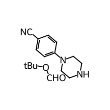 CC(C)(C)OC=O.N#Cc1ccc(N2CCNCC2)cc1